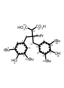 CCCC(Cc1cc(C(C)(C)C)c(O)c(C(C)(C)C)c1)(Cc1cc(C(C)(C)C)c(O)c(C(C)(C)C)c1)C(C(=O)O)C(=O)O